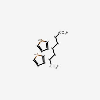 O=C(O)CCCCCC(=O)O.c1ccsc1.c1ccsc1